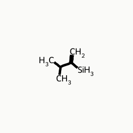 C=C([SiH3])C(C)C